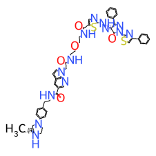 CC[C@@H]1CN(c2ccc(CCNC(=O)c3cnc4c(ccn4CC(=O)NCCOCCNC(=O)c4cnc(N/N=C5/C(=O)N(c6nc(-c7ccccc7)cs6)N=C5c5ccccc5)s4)c3)cc2)CCN1